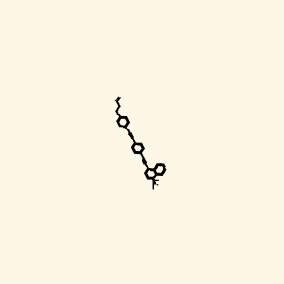 CCCCc1ccc(C#Cc2ccc(C#Cc3ccc(F)c4ccccc34)cc2)cc1